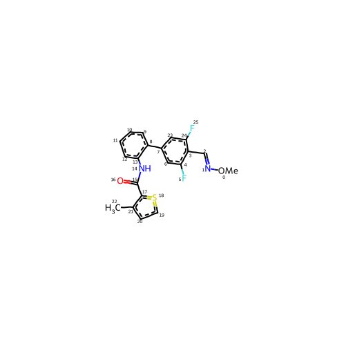 CO/N=C/c1c(F)cc(-c2ccccc2NC(=O)c2sccc2C)cc1F